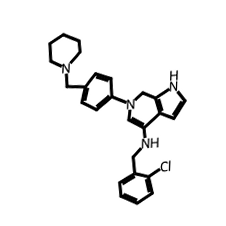 Clc1ccccc1CNC1=CN(c2ccc(CN3CCCCC3)cc2)Cc2[nH]ccc21